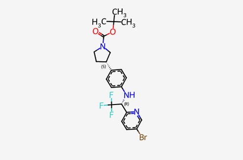 CC(C)(C)OC(=O)N1CC[C@@H](c2ccc(N[C@H](c3ccc(Br)cn3)C(F)(F)F)cc2)C1